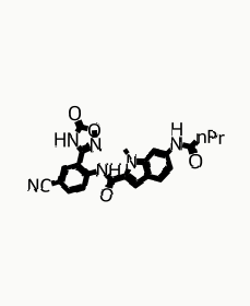 CCCC(=O)Nc1ccc2cc(C(=O)Nc3ccc(C#N)cc3-c3noc(=O)[nH]3)n(C)c2c1